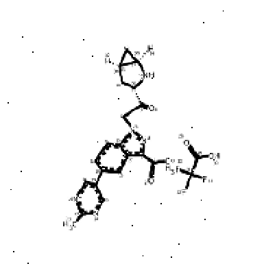 CC(=O)c1nn(CC(=O)[C@@H]2C[C@H]3C[C@H]3N2)c2ccc(-c3cnc(C)nc3)cc12.O=C(O)C(F)(F)F